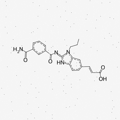 CCCn1/c(=N/C(=O)c2cccc(C(N)=O)c2)[nH]c2ccc(/C=C/C(=O)O)cc21